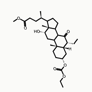 CCOC(=O)O[C@@H]1CC[C@]2(C)C3C[C@H](O)[C@@]4(C)C(CCC4[C@H](C)CCC(=O)OC)C3C(=O)[C@H](CC)[C@@H]2C1